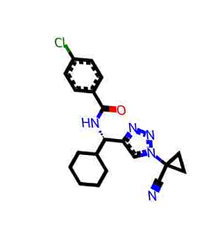 N#CC1(n2cc([C@@H](NC(=O)c3ccc(Cl)cc3)C3CCCCC3)nn2)CC1